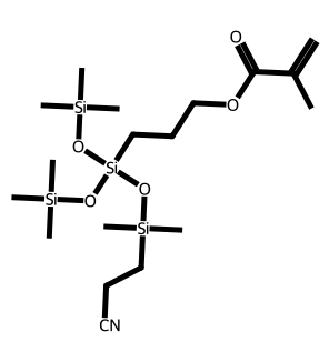 C=C(C)C(=O)OCCC[Si](O[Si](C)(C)C)(O[Si](C)(C)C)O[Si](C)(C)CCC#N